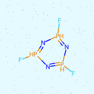 F[PH]1=N[PH](F)=N[PH](F)=N1